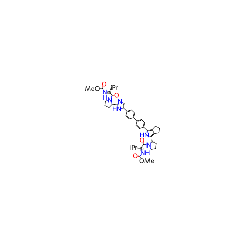 COC(=O)N[C@H](C(=O)N1CCCC1c1ncc(-c2ccc(-c3ccc(-c4[nH]c([C@@H]5CCCN5C(=O)[C@@H](NC(=O)OC)C(C)C)c5c4CCC5)cc3)cc2)[nH]1)C(C)C